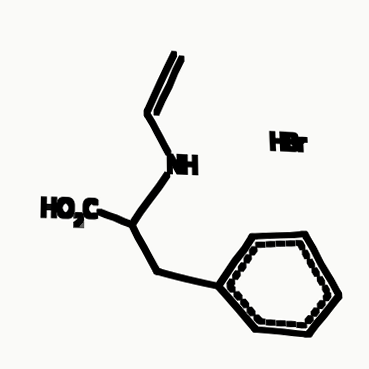 Br.C=CNC(Cc1ccccc1)C(=O)O